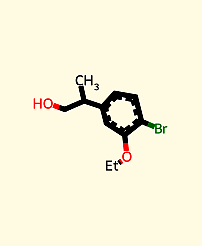 CCOc1cc([C](C)CO)ccc1Br